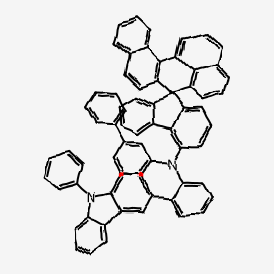 c1ccc(-c2cccc(N(c3ccccc3-c3ccc4c(c3)c3ccccc3n4-c3ccccc3)c3cccc4c3-c3ccccc3C43c4ccc5ccccc5c4-c4cccc5cccc3c45)c2)cc1